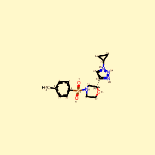 Cc1ccc(S(=O)(=O)N2CCO[C@@H](c3cn(C4CC4)nn3)C2)cc1